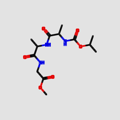 COC(=O)CNC(=O)C(C)NC(=O)C(C)NC(=O)OC(C)C